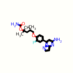 C[C@H](COc1ccc(-c2cc(N)nc3ccnn23)cc1F)CC(C)(C)OC(N)=O